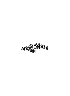 CCc1cc2c(cc1N1CCC(OCC3CC3)CC1)C(C)(C)C1=C(C2=O)c2ccc(C#N)cc2CN1